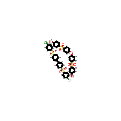 O=S(=O)(c1ccc(Br)cc1)c1ccc(Oc2ccc(S(=O)(=O)c3ccc(Br)cc3)cc2)cc1.O=S(=O)(c1ccc(Cl)cc1)c1ccc(-c2ccc(S(=O)(=O)c3ccc(Cl)cc3)cc2)cc1